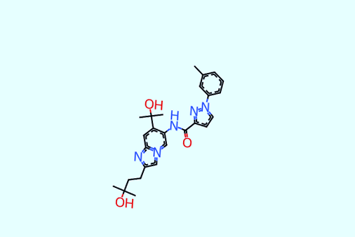 Cc1cccc(-n2ccc(C(=O)Nc3cn4cc(CCC(C)(C)O)nc4cc3C(C)(C)O)n2)c1